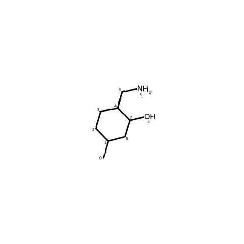 CC1CCC(CN)C(O)C1